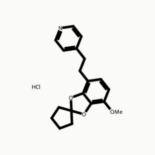 COc1ccc(CCc2ccncc2)c2c1OC1(CCCC1)O2.Cl